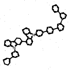 C1=CC(c2cccc(-n3c4c(c5ccccc53)CCC(c3cccc5c3c3ccccc3n5-c3ccc(-c5ccc(-c6cccc(-c7cccc(-c8ccccc8)c7)c6)cc5)cc3)=C4)c2)=CCC1